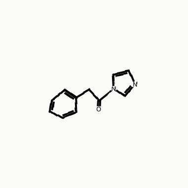 O=C(Cc1ccccc1)n1ccnc1